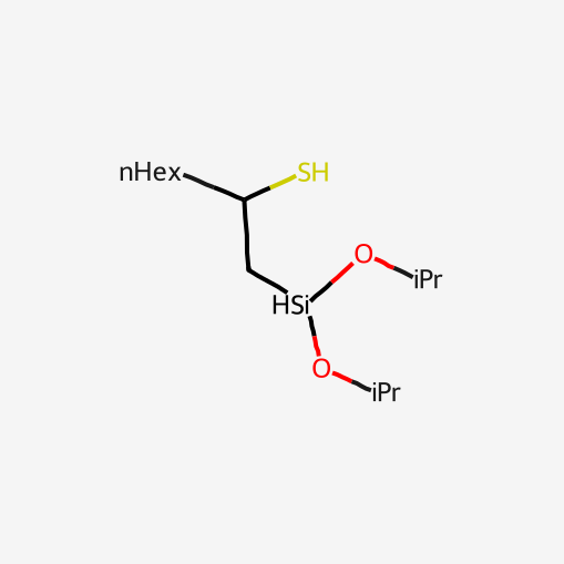 CCCCCCC(S)C[SiH](OC(C)C)OC(C)C